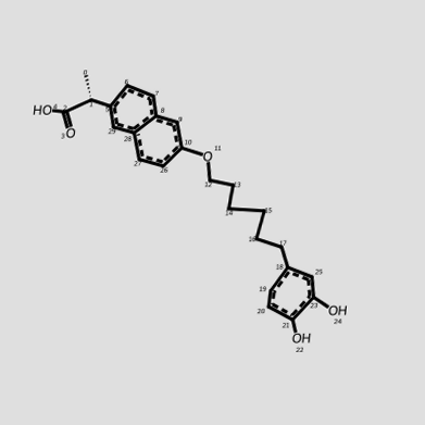 C[C@@H](C(=O)O)c1ccc2cc(OCCCCCCc3ccc(O)c(O)c3)ccc2c1